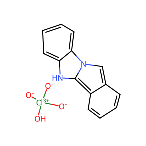 [O-][Cl+3]([O-])([O-])O.c1ccc2c(c1)cn1c3ccccc3[nH]c21